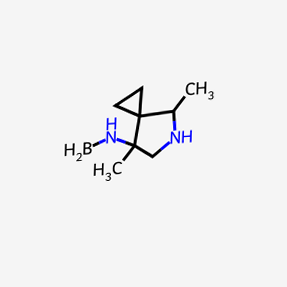 BNC1(C)CNC(C)C12CC2